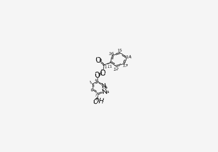 O=C(OOc1ccc(O)nn1)c1ccccc1